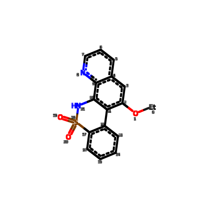 CCOc1cc2cccnc2c2c1-c1ccccc1S(=O)(=O)N2